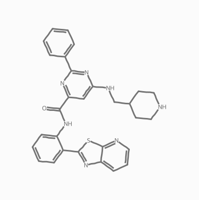 O=C(Nc1ccccc1-c1nc2cccnc2s1)c1cc(NCC2CCNCC2)nc(-c2ccccc2)n1